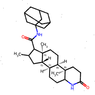 CC1C[C@H]2[C@@H]3CCC4NC(=O)CC[C@]4(C)[C@@H]3CC[C@]2(C)C1C(=O)NC12CC3CC(CC(C3)C1)C2